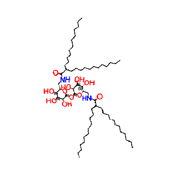 CCCCCCCCCCCCC(CCCCCCCCCCCC)C(=O)NCC1O[C@H](O[C@H]2OC(CNC(=O)C(CCCCCCCCCCCC)CCCCCCCCCCCC)[C@@H](O)[C@H](O)C2O)C(O)[C@@H](O)[C@@H]1O